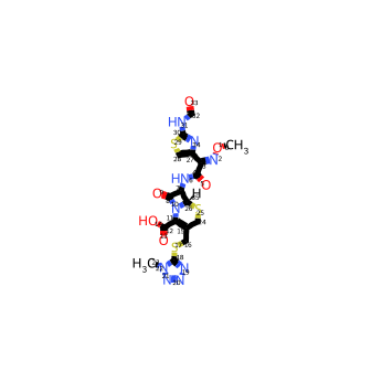 CO/N=C(/C(=O)NC1C(=O)N2C(C(=O)O)=C(CSc3nnnn3C)CS[C@H]12)c1csc(NC=O)n1